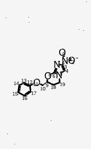 O=[N+]([O-])c1cn2c(n1)O[C@H](COc1cc[c]cc1)CC2